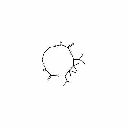 CC(C)C1CC(=O)NCCCCCNC(=O)CC(C(C)C)C(C)(C)C1(C)C